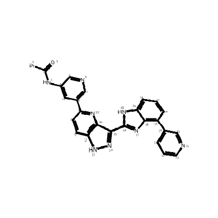 CC(C)C(=O)Nc1cncc(-c2ccc3[nH]nc(-c4nc5c(-c6cccnc6)cccc5[nH]4)c3n2)c1